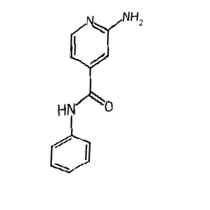 Nc1cc(C(=O)Nc2ccccc2)ccn1